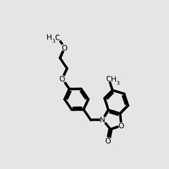 COCCOc1ccc(Cn2c(=O)oc3ccc(C)cc32)cc1